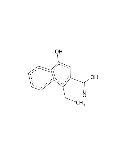 CCc1c(C(=O)O)cc(O)c2ccccc12